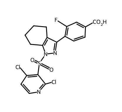 O=C(O)c1ccc(-c2nn(S(=O)(=O)c3c(Cl)ccnc3Cl)c3c2CCCC3)c(F)c1